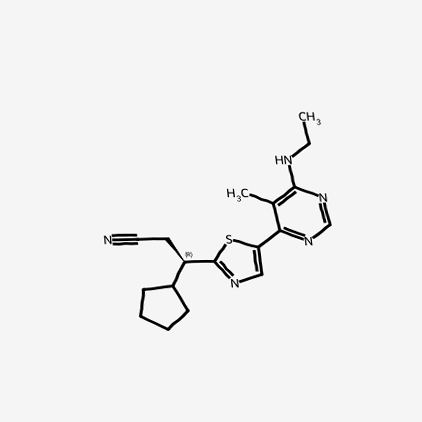 CCNc1ncnc(-c2cnc([C@H](CC#N)C3CCCC3)s2)c1C